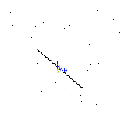 CCCCCCCCCCCCNC(=S)NCCCCCCCCCCCC